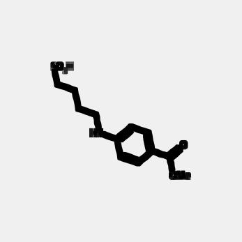 COC(=O)c1ccc(NCCCCS(=O)(=O)O)cc1